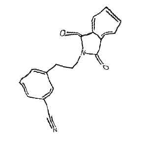 N#Cc1cccc(CCN2C(=O)c3ccccc3C2=O)c1